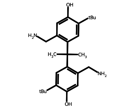 CC(C)(C)c1cc(C(C)(C)c2cc(C(C)(C)C)c(O)cc2CN)c(CN)cc1O